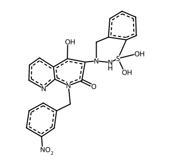 O=c1c(N2Cc3ccccc3S(O)(O)N2)c(O)c2cccnc2n1Cc1cccc([N+](=O)[O-])c1